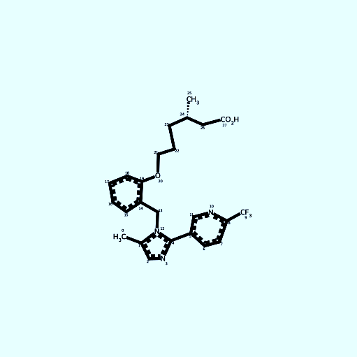 Cc1cnc(-c2ccc(C(F)(F)F)nc2)n1Cc1ccccc1OCCC[C@H](C)CC(=O)O